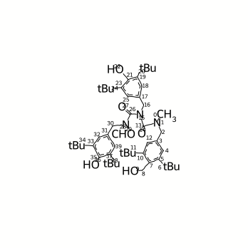 CN(Cc1cc(C(C)(C)C)c(CO)c(C(C)(C)C)c1)C(=O)N(Cc1cc(C(C)(C)C)c(O)c(C(C)(C)C)c1)C(=O)N(C=O)Cc1cc(C(C)(C)C)c(O)c(C(C)(C)C)c1